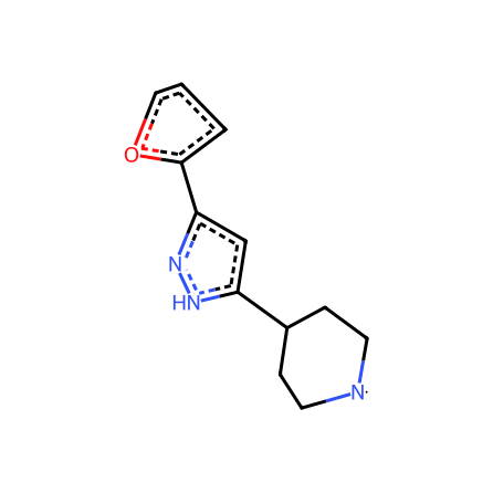 c1coc(-c2cc(C3CC[N]CC3)[nH]n2)c1